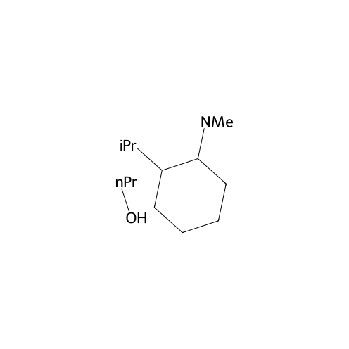 CCCO.CNC1CCCCC1C(C)C